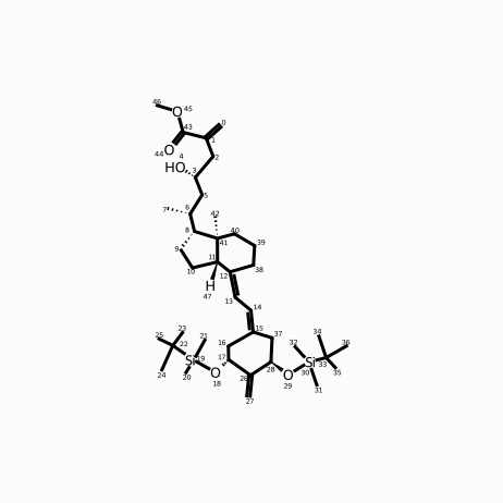 C=C(C[C@@H](O)C[C@@H](C)[C@H]1CC[C@H]2/C(=C/C=C3C[C@@H](O[Si](C)(C)C(C)(C)C)C(=C)[C@H](O[Si](C)(C)C(C)(C)C)C3)CCC[C@]12C)C(=O)OC